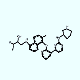 Cc1ccc2c(NCC(O)C(F)F)cccc2c1Oc1ncccc1-c1ccnc(NC2CCCNC2)n1